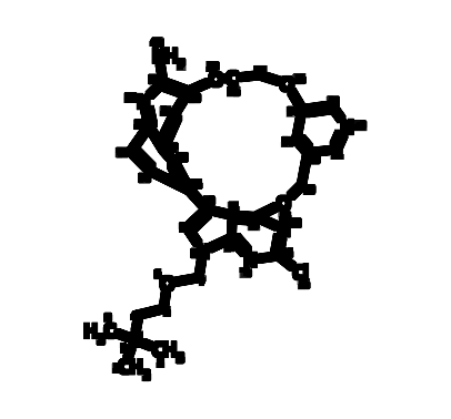 C[Si](C)(C)CCOCn1cc2c3c(nc(Cl)nc31)OCc1cncc(c1)OCCOc1cc3cc-2ccc3nc1N